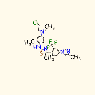 CCN(CCCl)c1ccc(Nc2nc(-c3ccc(-n4cnc(C)c4)cc3C(F)(F)F)c(C)s2)c(C)c1